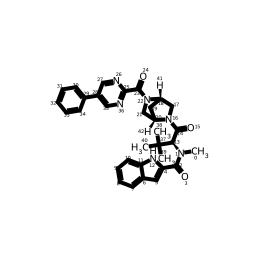 CN(C(=O)c1cc2ccccc2[nH]1)[C@H](C(=O)N1C[C@@H]2C[C@H]1CN2C(=O)c1ncc(-c2ccccc2)cn1)C(C)(C)C